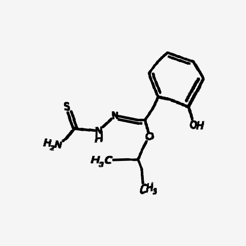 CC(C)OC(=NNC(N)=S)c1ccccc1O